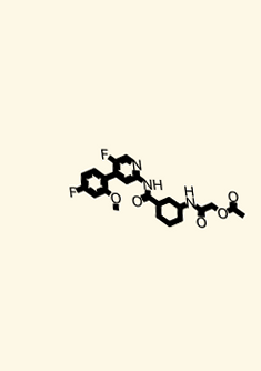 COc1cc(F)ccc1-c1cc(NC(=O)C2CCCC(NC(=O)COC(C)=O)C2)ncc1F